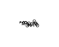 C[C@H]1COCCN1C(=O)C1CCC(NS(=O)(=O)c2ccc3cc(C4CC4)n(C)c3c2)CC1